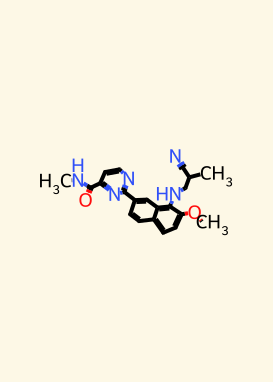 CNC(=O)c1ccnc(-c2ccc3ccc(OC)c(NCC(C)C#N)c3c2)n1